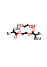 CCCCC(CC)C(=O)OCCOC(=O)C(CC)CCCC.OCCO